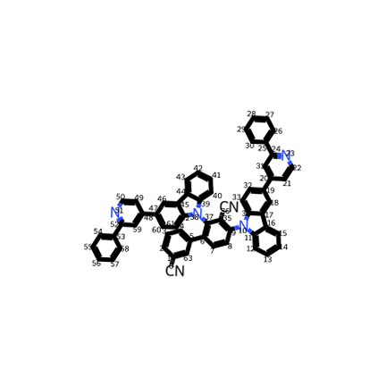 N#Cc1cccc(-c2ccc(-n3c4ccccc4c4cc(-c5ccnc(-c6ccccc6)c5)ccc43)c(C#N)c2-n2c3ccccc3c3cc(-c4ccnc(-c5ccccc5)c4)ccc32)c1